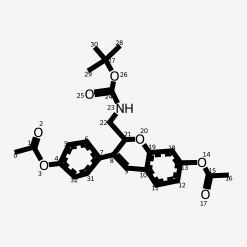 CC(=O)Oc1ccc(C2=Cc3ccc(OC(C)=O)cc3OC2CNC(=O)OC(C)(C)C)cc1